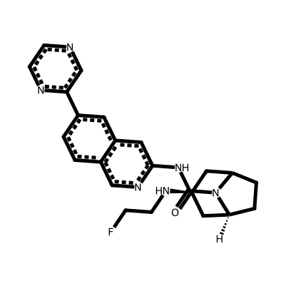 O=C(Nc1cc2cc(-c3cnccn3)ccc2cn1)N1C2CC[C@H]1C[C@@H](NCCF)C2